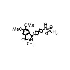 COc1cc2c(N3CC4(CC(NS(N)(=O)=O)C4)C3)nn(C)c(=O)c2cc1OC